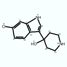 OC1(c2c[nH]c3cc(Cl)ccc23)CCNCC1